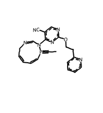 CC#P1/C=C\C=C/C/N=C\N1c1nc(OCCc2ccccn2)ncc1C#N